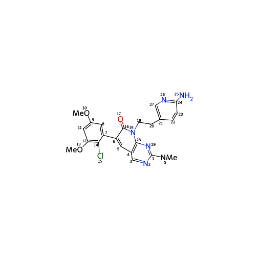 CNc1ncc2cc(-c3cc(OC)cc(OC)c3Cl)c(=O)n(CCc3ccc(N)nc3)c2n1